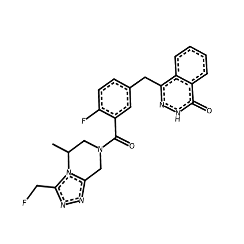 CC1CN(C(=O)c2cc(Cc3n[nH]c(=O)c4ccccc34)ccc2F)Cc2nnc(CF)n21